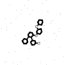 Clc1cccc(-c2c(Oc3cccc(Oc4ccccc4)c3)cccc2-c2ccccc2)c1